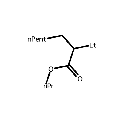 CCCCCCC(CC)C(=O)OCCC